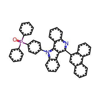 O=P(c1ccccc1)(c1ccccc1)c1ccc(-n2c3ccccc3c3c(-c4cc5ccccc5c5ccccc45)nc4ccccc4c32)cc1